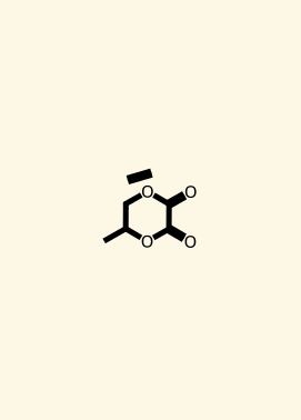 C=C.CC1COC(=O)C(=O)O1